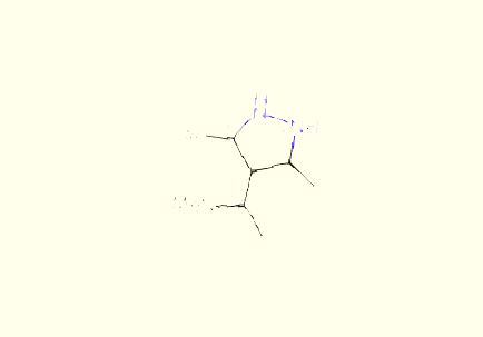 CNC(C)C1C(C)NNC1C(C)=O